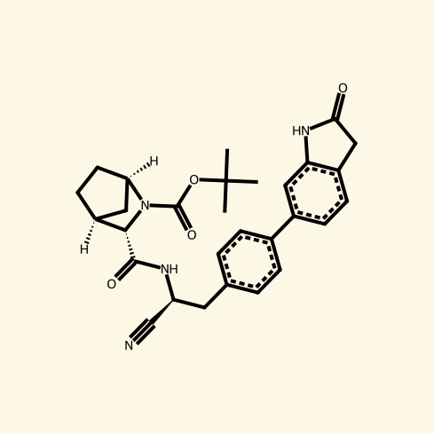 CC(C)(C)OC(=O)N1[C@@H]2CC[C@@H](C2)[C@H]1C(=O)N[C@H](C#N)Cc1ccc(-c2ccc3c(c2)NC(=O)C3)cc1